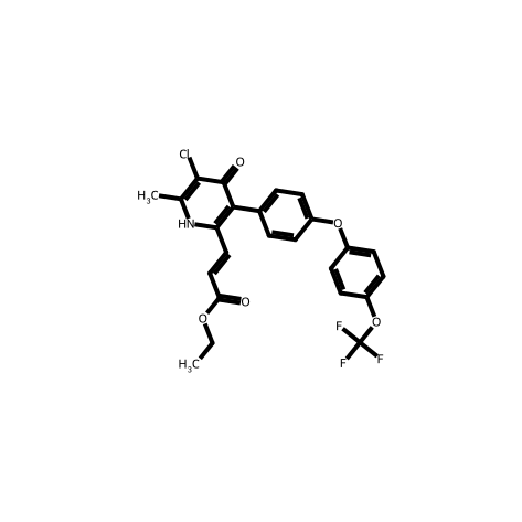 CCOC(=O)/C=C/c1[nH]c(C)c(Cl)c(=O)c1-c1ccc(Oc2ccc(OC(F)(F)F)cc2)cc1